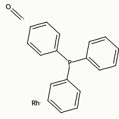 [C]=O.[Rh].c1ccc(P(c2ccccc2)c2ccccc2)cc1